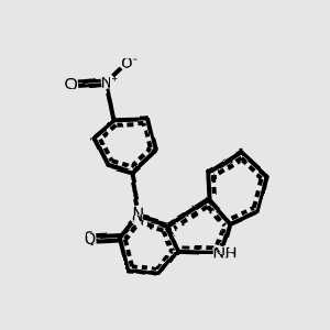 O=c1ccc2[nH]c3ccccc3c2n1-c1ccc([N+](=O)[O-])cc1